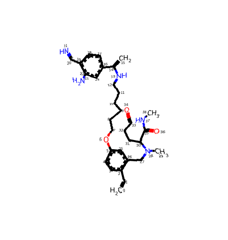 C=Cc1ccc(OCCCCCCNC(=C)c2ccc(C=N)c(N)c2)cc1CN(C)C(CCC=O)C(=O)NC